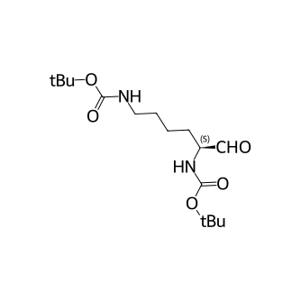 CC(C)(C)OC(=O)NCCCC[C@@H](C=O)NC(=O)OC(C)(C)C